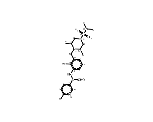 Cc1ccc(N(C=O)Nc2cccc(CN3[C@H](C)CN(S(=O)(=O)N(C)C)C[C@@H]3C)c2F)cn1